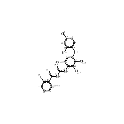 Cc1cc(Oc2ccc(Cl)cc2Br)c(C)c(C)c1NC(=O)NC(=O)c1c(F)cccc1F